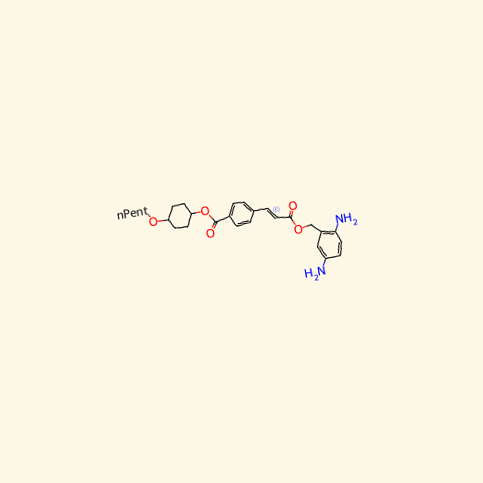 CCCCCOC1CCC(OC(=O)c2ccc(/C=C/C(=O)OCc3cc(N)ccc3N)cc2)CC1